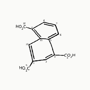 O=C(O)c1cc(C(=O)O)c2cccc(C(=O)O)c2c1